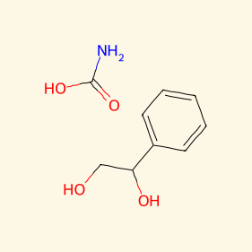 NC(=O)O.OCC(O)c1ccccc1